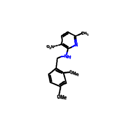 COc1ccc(CNc2nc(C)ccc2[N+](=O)[O-])c(OC)c1